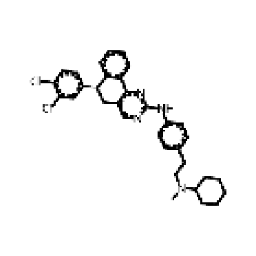 CN(CCc1ccc(Nc2ncc3c(n2)-c2ccccc2[C@H](c2ccc(Cl)c(Cl)c2)C3)cc1)C1CCCCC1